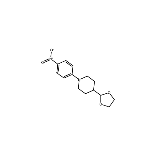 O=[N+]([O-])c1ccc(N2CCC(C3OCCO3)CC2)cn1